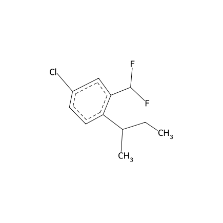 CCC(C)c1ccc(Cl)cc1C(F)F